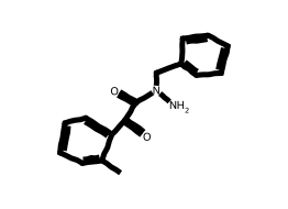 Cc1ccccc1C(=O)C(=O)N(N)Cc1ccccc1